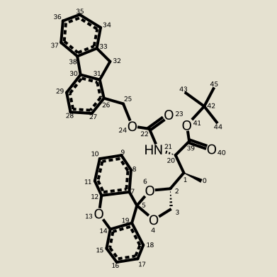 C[C@@H]([C@@H]1COC2(O1)c1ccccc1Oc1ccccc12)[C@H](NC(=O)OCc1cccc2c1Cc1ccccc1-2)C(=O)OC(C)(C)C